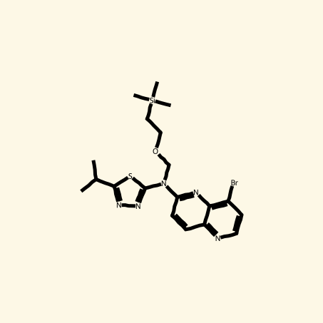 CC(C)c1nnc(N(COCC[Si](C)(C)C)c2ccc3nccc(Br)c3n2)s1